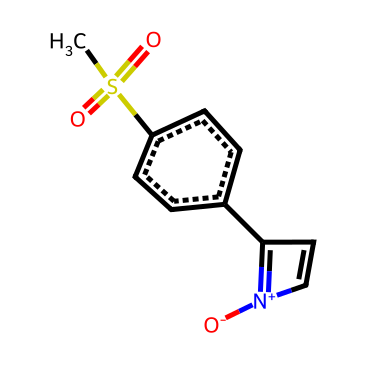 CS(=O)(=O)c1ccc(C2=[N+]([O-])C=C2)cc1